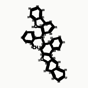 Cc1ccccc1N(c1cc2oc3cc4ccccc4cc3c2c2ccccc12)c1cccc2c1oc1ccccc12